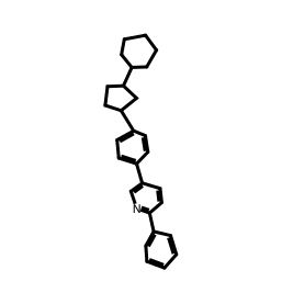 c1ccc(-c2ccc(-c3ccc(C4CCC(C5CCCCC5)C4)cc3)cn2)cc1